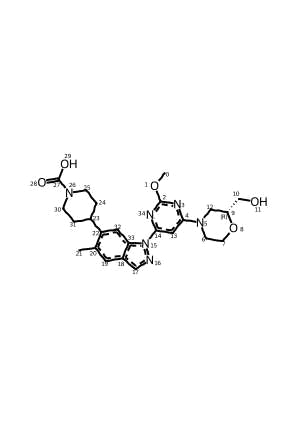 COc1nc(N2CCO[C@@H](CO)C2)cc(-n2ncc3cc(C)c(C4CCN(C(=O)O)CC4)cc32)n1